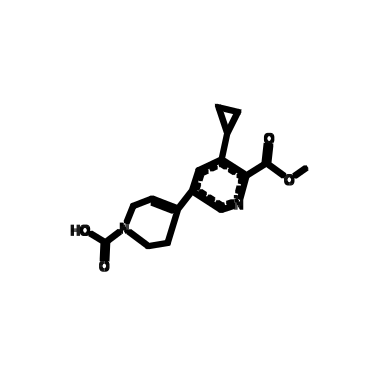 COC(=O)c1ncc(C2=CCN(C(=O)O)CC2)cc1C1CC1